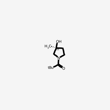 CC(C)(C)C(=O)N1CC[C@](C)(O)C1